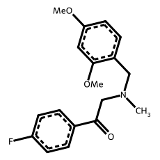 COc1ccc(CN(C)CC(=O)c2ccc(F)cc2)c(OC)c1